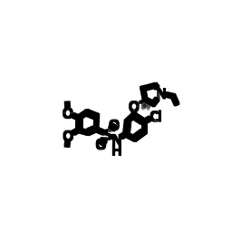 CCN1CC[C@@H](Oc2cc(NS(=O)(=O)c3ccc(OC)c(OC)c3)ccc2Cl)C1